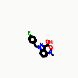 CN(C)c1cccc2c1c(C(=O)O)nn2Cc1ccc(F)cc1